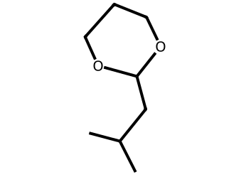 CC(C)CC1OCCCO1